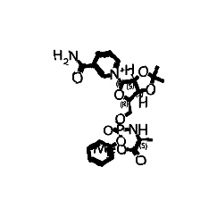 COC(=O)[C@H](C)NP(=O)(OC[C@H]1O[C@@H]([n+]2cccc(C(N)=O)c2)[C@H]2OC(C)(C)O[C@H]21)Oc1ccccc1